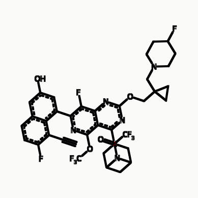 C#Cc1c(F)ccc2cc(O)cc(-c3nc(OC(F)(F)F)c4c(N5CC6CC(C5)N6C(=O)C(F)(F)F)nc(OCC5(CN6CCC(F)CC6)CC5)nc4c3F)c12